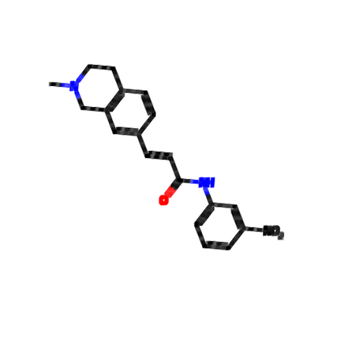 CN1CCc2ccc(/C=C/C(=O)Nc3cccc([N+](=O)[O-])c3)cc2C1